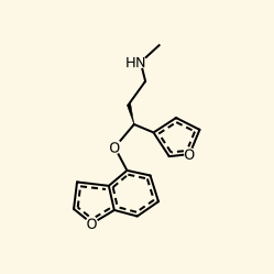 CNCC[C@H](Oc1cccc2occc12)c1ccoc1